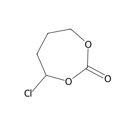 O=C1OCCCC(Cl)O1